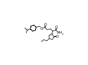 CCCC1CC(=O)N(C(CCC(=O)OCc2ccc(N(C)C)cc2)C(N)=O)C1